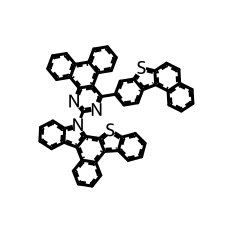 c1ccc2c(c1)ccc1sc3cc(-c4nc(-n5c6ccccc6c6c7ccccc7c7c8ccccc8sc7c65)nc5c6ccccc6c6ccccc6c45)ccc3c12